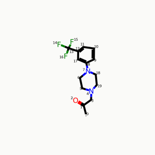 [CH2]C(=O)CN1CCN(c2cccc(C(F)(F)F)c2)CC1